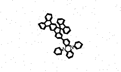 c1ccc(N2c3ccccc3N(c3ccccc3)c3cc(-c4ccc5c(c4)C4(c6ccccc6-c6ccccc64)c4cc6c7ccccc7c7ccccc7c6cc4-5)ccc32)cc1